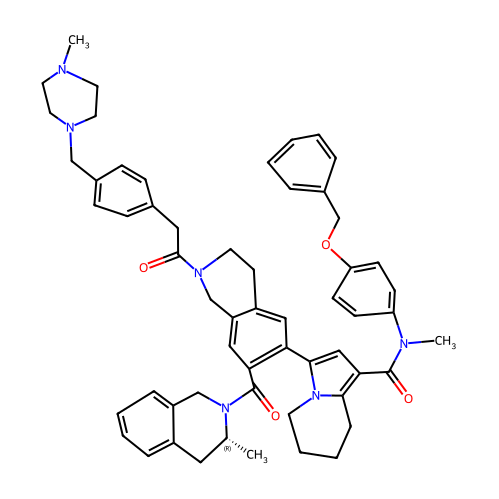 C[C@@H]1Cc2ccccc2CN1C(=O)c1cc2c(cc1-c1cc(C(=O)N(C)c3ccc(OCc4ccccc4)cc3)c3n1CCCC3)CCN(C(=O)Cc1ccc(CN3CCN(C)CC3)cc1)C2